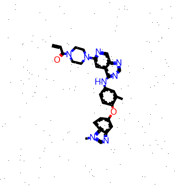 C=CC(=O)N1CCN(c2cc3c(Nc4ccc(Oc5ccc6c(c5)ncn6C)c(C)c4)ncnc3cn2)CC1